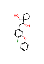 OCC1(C(O)Cc2ccc(F)c(Oc3ccccc3)c2)CCCC1